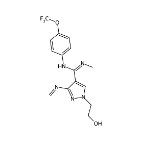 C=Nc1nn(CCO)cc1/C(=N\C)Nc1ccc(OC(F)(F)F)cc1